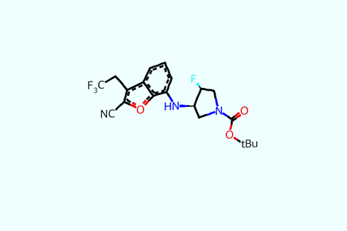 CC(C)(C)OC(=O)N1C[C@H](F)[C@H](Nc2cccc3c(CC(F)(F)F)c(C#N)oc23)C1